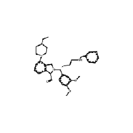 CCN1CCN(c2cccc3c2CN([C@H](CCCNCc2ccccc2)c2ccc(OC)c(OC)c2)C3C=O)CC1